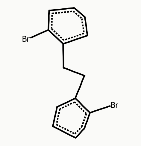 Brc1ccccc1CCc1ccccc1Br